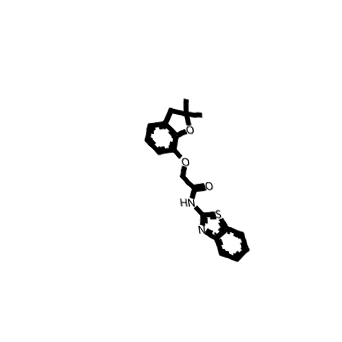 CC1(C)Cc2cccc(OCC(=O)Nc3nc4ccccc4s3)c2O1